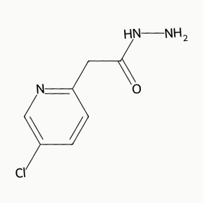 NNC(=O)Cc1ccc(Cl)cn1